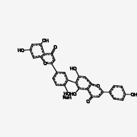 O=c1cc(-c2ccc(O)c(-c3c(O)cc4oc(-c5ccc(O)cc5)cc(=O)c4c3O)c2)oc2cc(O)cc(O)c12.[NaH]